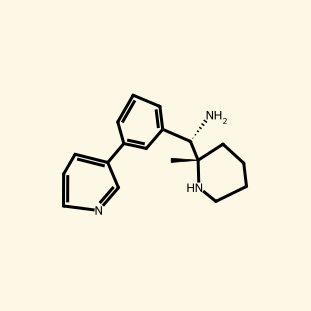 C[C@@]1([C@@H](N)c2cccc(-c3cccnc3)c2)CCCCN1